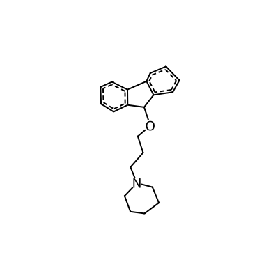 c1ccc2c(c1)-c1ccccc1C2OCCCN1CCCCC1